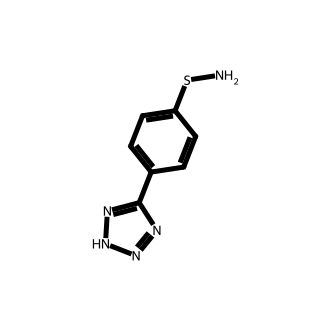 NSc1ccc(-c2nn[nH]n2)cc1